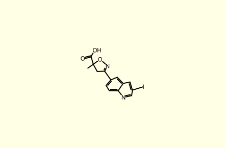 CC1(C(=O)O)CC(c2ccc3ncc(I)cc3c2)=NO1